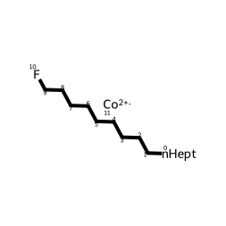 CCCCCCCCCCCCCCCCF.[Co+2]